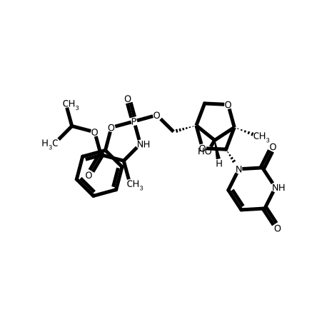 CC(C)OC(=O)C(C)NP(=O)(OC[C@]12CO[C@](C)([C@@H]1O)[C@H](n1ccc(=O)[nH]c1=O)O2)Oc1ccccc1